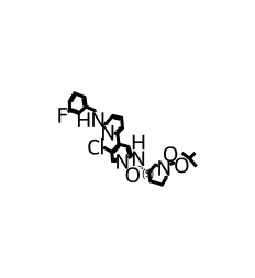 CC(C)(C)OC(=O)N1CCC[C@H](C(=O)Nc2cc(-c3cccc(NCc4cccc(F)c4)n3)c(Cl)cn2)C1